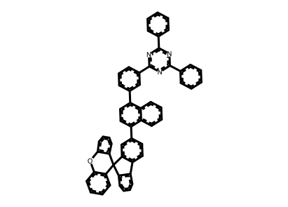 c1ccc(-c2nc(-c3ccccc3)nc(-c3cccc(-c4ccc(-c5ccc6c(c5)C5(c7ccccc7Oc7ccccc75)c5ccccc5-6)c5ccccc45)c3)n2)cc1